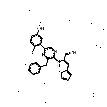 C=C/C(=C/C1=CC=CC1)Nc1ncc(-c2cc(O)ccc2Cl)nc1Cc1ccccc1